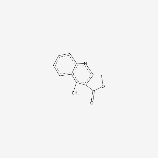 Cc1c2c(nc3ccccc13)COC2=O